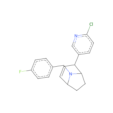 Fc1ccc(CN2C3C=CC(c4ccc(Cl)nc4)C2CC3)cc1